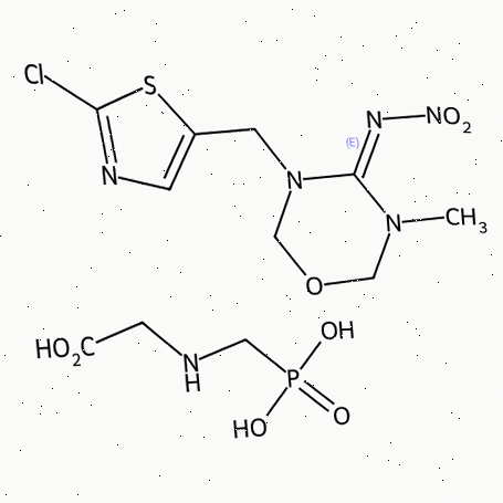 CN1COCN(Cc2cnc(Cl)s2)/C1=N/[N+](=O)[O-].O=C(O)CNCP(=O)(O)O